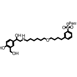 CCCCCS(=O)(=O)c1cccc(CCCCOCCCCCCNCC(O)c2ccc(O)c(CO)c2)c1